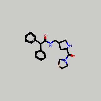 O=C(NCC1CNC(C(=O)N2CCSC2)C1)C(c1ccccc1)c1ccccc1